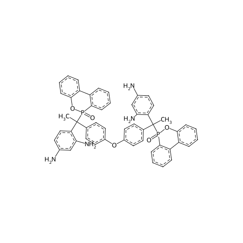 CC(c1ccc(Oc2ccc(C(C)(c3ccc(N)cc3N)P3(=O)Oc4ccccc4-c4ccccc43)cc2)cc1)(c1ccc(N)cc1N)P1(=O)Oc2ccccc2-c2ccccc21